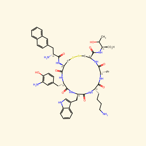 CC(C)[C@@H]1NC(=O)[C@H](CCCCN)NC(=O)[C@@H](Cc2c[nH]c3ccccc23)NC(=O)[C@H](Cc2ccc(O)c(N)c2)NC(=O)[C@@H](NC(=O)[C@H](N)Cc2ccc3ccccc3c2)CSSC[C@@H](C(=O)N[C@H](C(=O)O)C(C)O)NC1=O